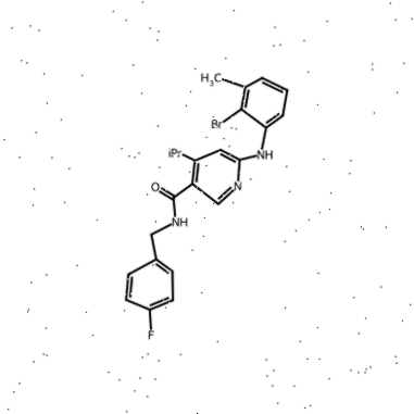 Cc1cccc(Nc2cc(C(C)C)c(C(=O)NCc3ccc(F)cc3)cn2)c1Br